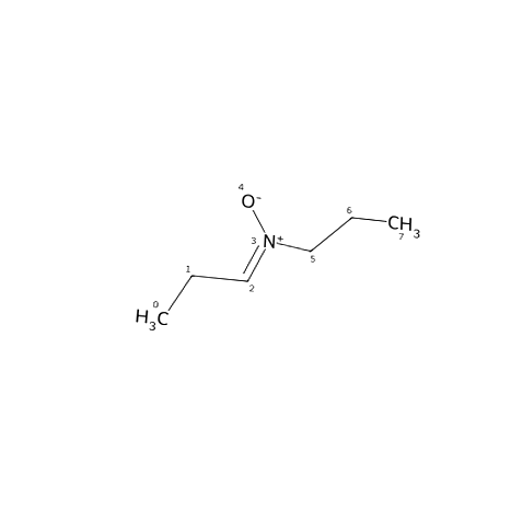 CCC=[N+]([O-])CCC